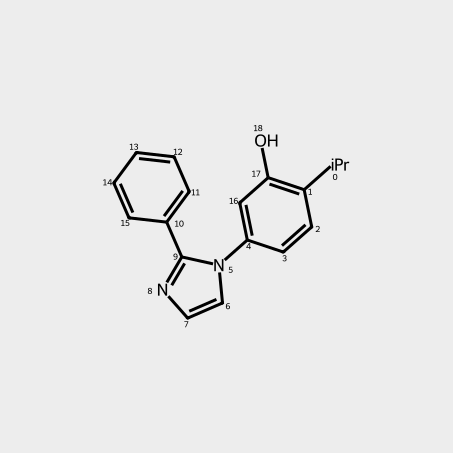 CC(C)c1ccc(-n2ccnc2-c2ccccc2)cc1O